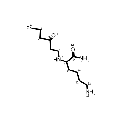 CC(C)CCC(=O)CCNC(CCCCN)C(N)=O